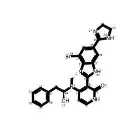 CN(c1cc[nH]c(=O)c1-c1nc2c(Br)cc(C3=NCCN3)cc2[nH]1)[C@@H](O)Cc1ccccc1